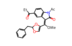 CCC(=O)c1ccc2c(c1)C(=C(OC)C1=COC(Cc3ccccc3)O1)C(=O)N2C(C)=O